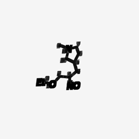 CCOCC(CC1CCN(C)C1)N=O